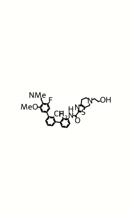 CNCc1c(F)cc(-c2cccc(-c3cccc(NC(=O)c4nc5c(s4)CN(CCO)CC5)c3F)c2C)cc1OC